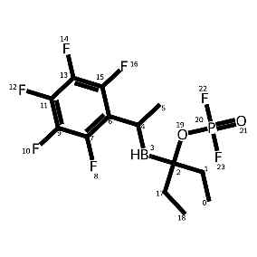 CCC(BC(C)c1c(F)c(F)c(F)c(F)c1F)(CC)OP(=O)(F)F